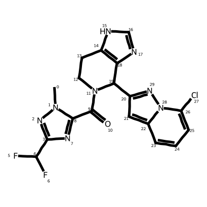 Cn1nc(C(F)F)nc1C(=O)N1CCc2[nH]cnc2C1c1cc2cccc(Cl)n2n1